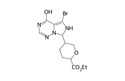 CCOC(=O)C1CCC(C2NC(Br)=C3C(O)=NC=NN32)CO1